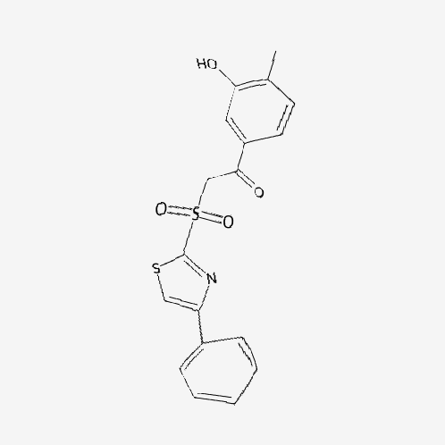 Cc1ccc(C(=O)CS(=O)(=O)c2nc(-c3ccccc3)cs2)cc1O